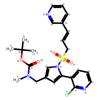 CN(Cc1cc(-c2cccnc2Cl)n(S(=O)(=O)CC=Cc2cccnc2)c1)C(=O)OC(C)(C)C